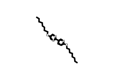 CCCCCCCCOc1cnc(-c2ccc(OCCCCCCCC)nc2)nc1